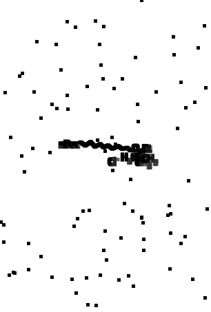 CCCCCCCCCCCCCCCCCCCCCCOC(CC)[N+](C)(C)C.[Cl-]